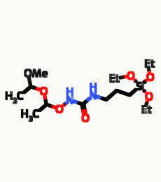 CCO[Si](CCCNC(=O)NOC(C)OC(C)OC)(OCC)OCC